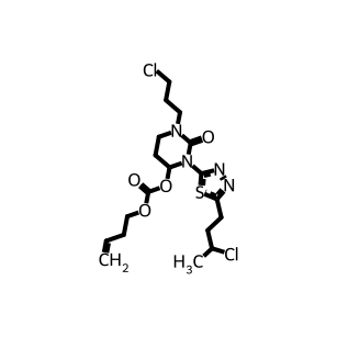 C=CCCOC(=O)OC1CCN(CCCCl)C(=O)N1c1nnc(CCC(C)Cl)s1